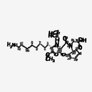 COC(=O)[C@H](CCCCCCCCN)N[C@H]1COc2ccccc2N(CC(=O)O)C1=O.Cl.Cl